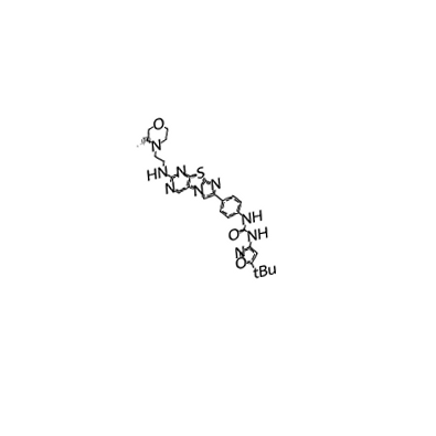 C[C@@H]1COCCN1CCNc1ncc2c(n1)sc1nc(-c3ccc(NC(=O)Nc4cc(C(C)(C)C)on4)cc3)cn12